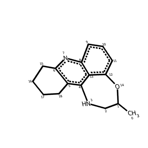 CC1CNc2c3c(nc4cccc(c24)O1)CCCC3